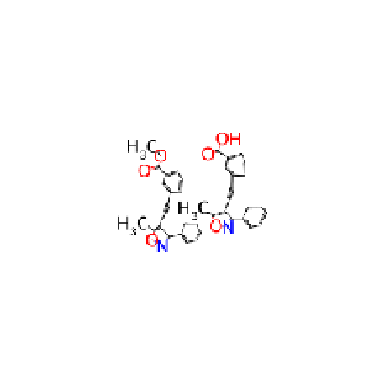 COC(=O)c1cccc(C#Cc2c(-c3ccccc3)noc2C)c1.Cc1onc(-c2ccccc2)c1C#Cc1cccc(C(=O)O)c1